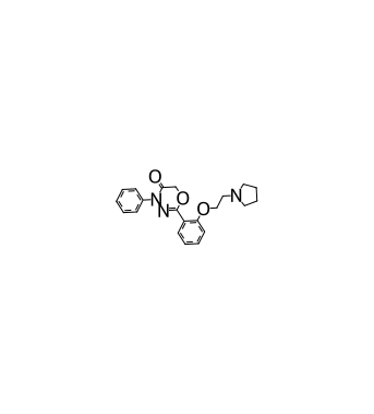 O=C1COC(c2ccccc2OCCN2CCCC2)=NN1c1ccccc1